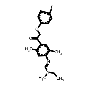 CCN(C)C=Nc1cc(C)c(C(=O)COc2ccc(F)cc2)cc1C